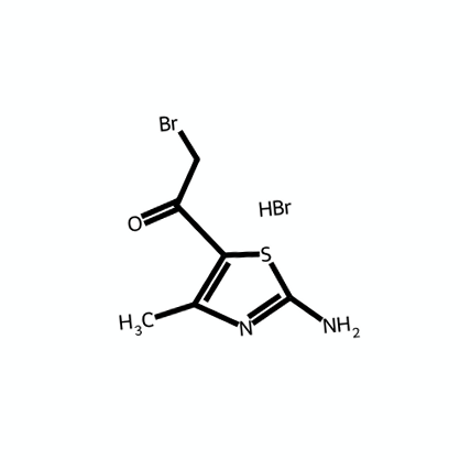 Br.Cc1nc(N)sc1C(=O)CBr